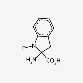 NC1(C(=O)O)Cc2ccccc2N1F